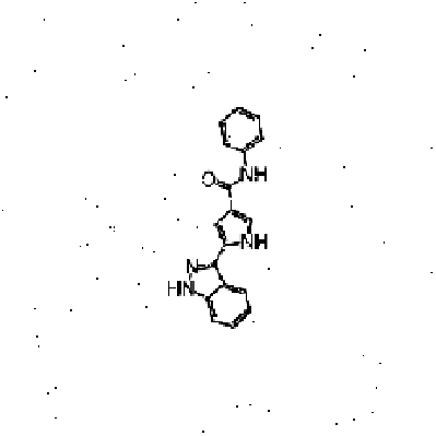 O=C(Nc1ccccc1)c1c[nH]c(-c2n[nH]c3ccccc23)c1